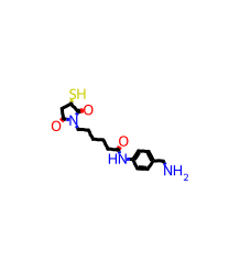 NCc1ccc(NC(=O)CCCCCN2C(=O)CC(S)C2=O)cc1